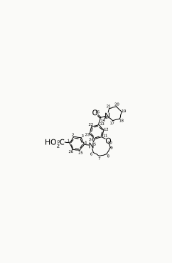 O=C(O)c1ccc(N2CCCCOc3cc(C(=O)N4CCCCC4)ccc32)cc1